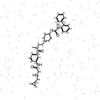 CN(CCN1CCC(OC(=O)Nc2ccccc2-c2ccccc2)CC1)C(=O)c1cccc(NC(=O)CNCC2CC2)c1